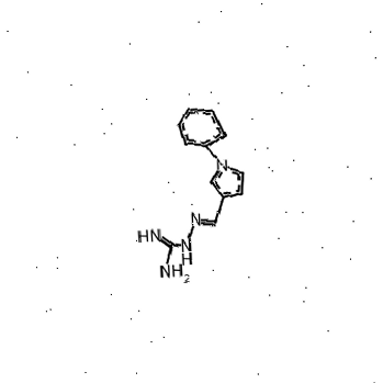 N=C(N)NN=Cc1ccn(-c2ccccc2)c1